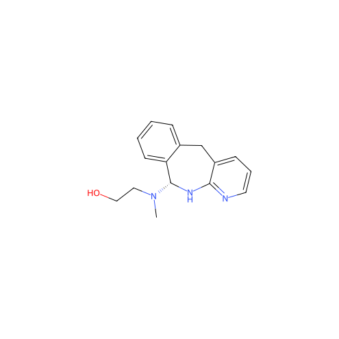 CN(CCO)[C@H]1Nc2ncccc2Cc2ccccc21